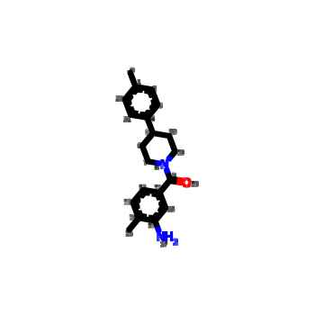 Cc1ccc(C2CCN(C(=O)c3ccc(C)c(N)c3)CC2)cc1